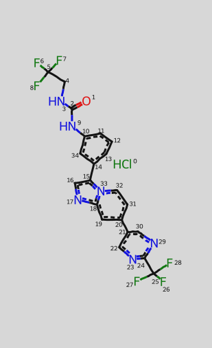 Cl.O=C(NCC(F)(F)F)Nc1cccc(-c2cnc3cc(-c4cnc(C(F)(F)F)nc4)ccn23)c1